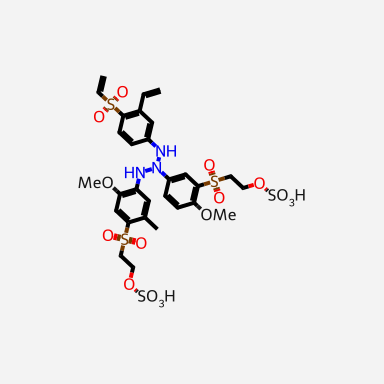 C=Cc1cc(NN(Nc2cc(C)c(S(=O)(=O)CCOS(=O)(=O)O)cc2OC)c2ccc(OC)c(S(=O)(=O)CCOS(=O)(=O)O)c2)ccc1S(=O)(=O)C=C